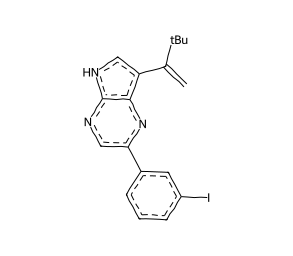 C=C(c1c[nH]c2ncc(-c3cccc(I)c3)nc12)C(C)(C)C